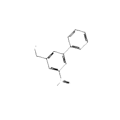 O=[N+]([O-])c1cc(CO)cc(-c2ccccc2)c1